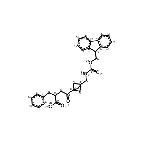 O=C(NCC12CC(C(=O)CC(Cc3ccccc3)C(=O)O)(C1)C2)OCC1c2ccccc2-c2ccccc21